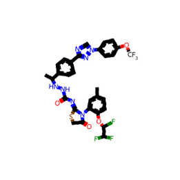 Cc1ccc(OC(F)C(F)F)c(N2C(=O)CSC2=NC(=O)NNC(C)c2ccc(-c3ncn(-c4ccc(OC(F)(F)F)cc4)n3)cc2)c1